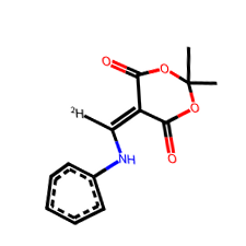 [2H]C(Nc1ccccc1)=C1C(=O)OC(C)(C)OC1=O